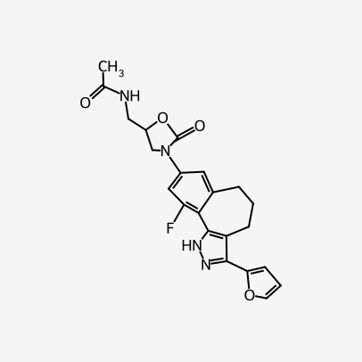 CC(=O)NCC1CN(c2cc(F)c3c(c2)CCCc2c(-c4ccco4)n[nH]c2-3)C(=O)O1